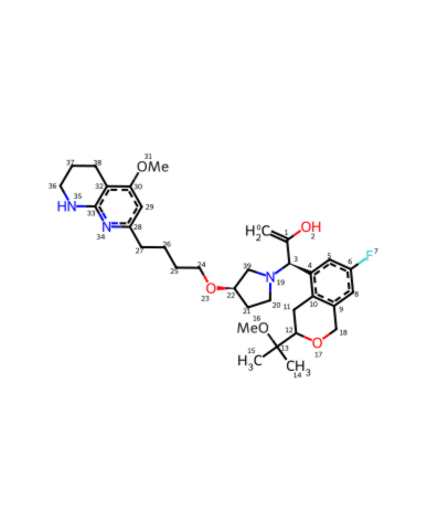 C=C(O)[C@@H](c1cc(F)cc2c1CC(C(C)(C)OC)OC2)N1CC[C@@H](OCCCCc2cc(OC)c3c(n2)NCCC3)C1